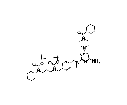 CC(C)(C)OC(=O)N(CCCN(C(=O)OC(C)(C)C)C1CCCCC1)Cc1ccc(CNc2nc(N)cc(N3CCN(C(=O)C4CCCCC4)CC3)n2)cc1